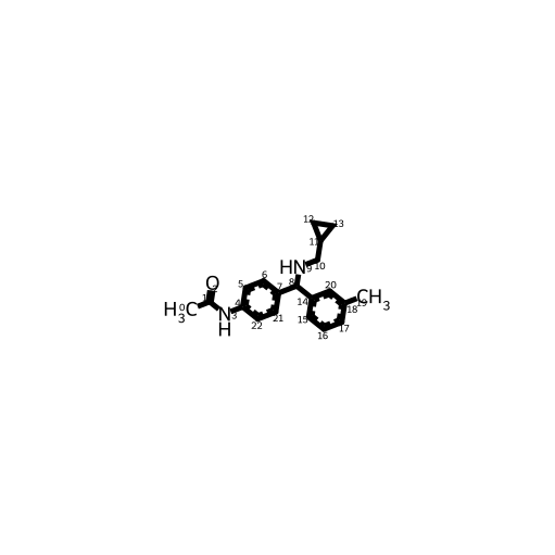 CC(=O)Nc1ccc(C(NCC2CC2)c2cccc(C)c2)cc1